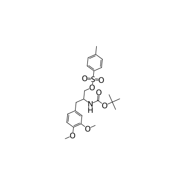 COc1ccc(CC(COS(=O)(=O)c2ccc(C)cc2)NC(=O)OC(C)(C)C)cc1OC